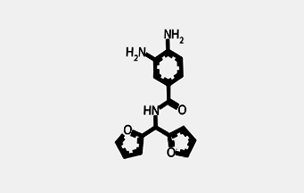 Nc1ccc(C(=O)NC(c2ccco2)c2ccco2)cc1N